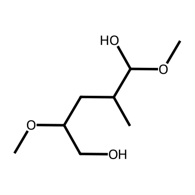 COC(CO)CC(C)C(O)OC